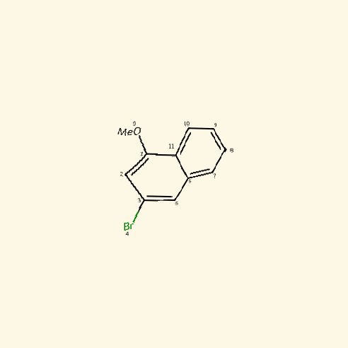 COc1cc(Br)cc2ccccc12